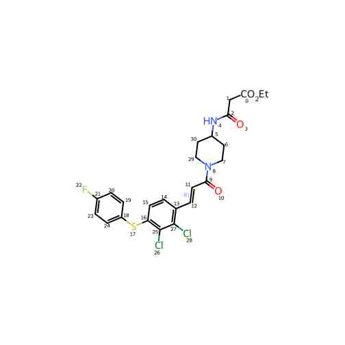 CCOC(=O)CC(=O)NC1CCN(C(=O)/C=C/c2ccc(Sc3ccc(F)cc3)c(Cl)c2Cl)CC1